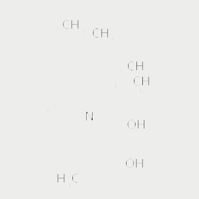 CC(O)N1CCC(C)C(C)(C)C1(C)O